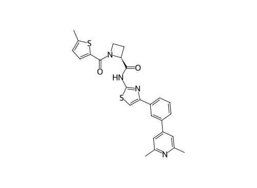 Cc1cc(-c2cccc(-c3csc(NC(=O)[C@@H]4CCN4C(=O)c4ccc(C)s4)n3)c2)cc(C)n1